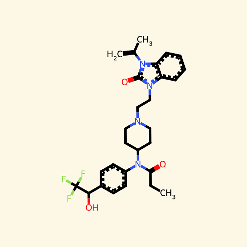 C=C(C)n1c(=O)n(CCN2CCC(N(C(=O)CC)c3ccc(C(O)C(F)(F)F)cc3)CC2)c2ccccc21